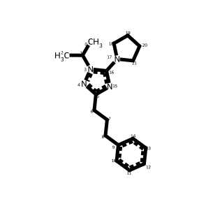 CC(C)n1nc(CCCc2ccccc2)nc1N1CCCC1